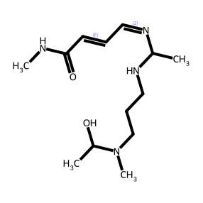 CNC(=O)/C=C/C=N\C(C)NCCCN(C)C(C)O